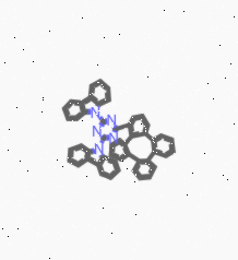 c1ccc2c(c1)-c1ccccc1-c1cccc(-c3nc(-n4c5ccccc5c5ccccc54)nc(-n4c5ccccc5c5ccccc54)n3)c1-c1ccccc1-2